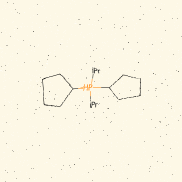 CC(C)[PH](C(C)C)(C1CCCC1)C1CCCC1